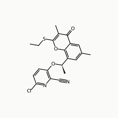 CCSc1oc2c([C@@H](C)Oc3ccc(Cl)nc3C#N)cc(C)cc2c(=O)c1C